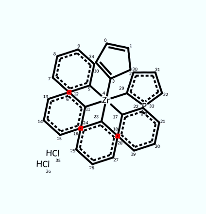 C1=CC[C]([Zr]([c]2ccccc2)([c]2ccccc2)([c]2ccccc2)([c]2ccccc2)[c]2ccc[pH]2)=C1.Cl.Cl